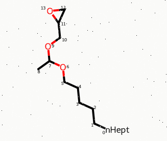 CCCCCCCCCCCCOC(C)OCC1CO1